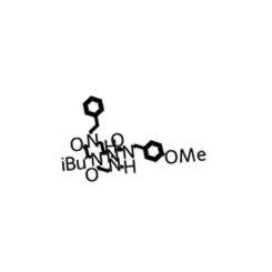 CCC(C)[C@H]1C(=O)N(CCc2ccccc2)C[C@H]2N1C(=O)CN(C)N2C(=O)NCc1ccc(OC)cc1